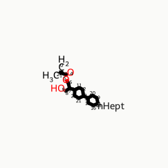 C=C(C)C(=O)OCC(CO)C1CCC(C2CCC(CCCCCCC)CC2)CC1